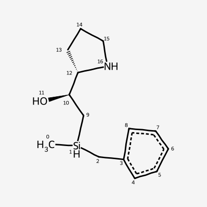 C[SiH](Cc1ccccc1)C[C@@H](O)[C@@H]1CCCN1